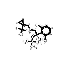 CCC(F)(F)C1(CNC[C@](C)(O[Si](C)(C)C)c2c(Cl)cccc2Cl)CC1